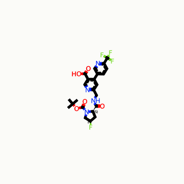 CC(C)(C)OC(=O)N1C[C@H](F)C[C@H]1C(=O)NCc1cc(-c2ccc(C(F)(F)F)nc2)c(C(=O)O)cn1